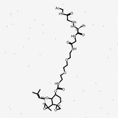 COC1C(OC(=O)NCCOCCOCCNC(=O)CNC(=O)[C@@H](NNCC(=O)NCC(C)=O)C(C)C)CC[C@]2(CO2)C1C1(C)O[C@@H]1CC=C(C)C